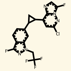 Fc1nn(CC(F)(F)F)c2cc(C3CC3c3cc(Cl)nn4c(F)cnc34)ccc12